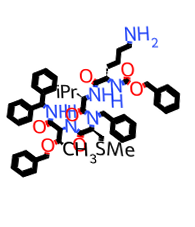 CSC[C@@H](C(=O)N[C@H](C(=O)NC(c1ccccc1)c1ccccc1)[C@@H](C)OCc1ccccc1)N(Cc1ccccc1)C(=O)[C@@H](NC(=O)[C@H](CCCCN)NC(=O)OCc1ccccc1)C(C)C